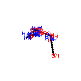 CCCC[C@H](NC(=O)[C@H](CN)NC(=O)[C@H](Cc1c[nH]cn1)NC(=O)[C@H](CCC(N)=O)NC(=O)[C@H](CO)NC(=O)CNC(=O)COCCOCCNC(=O)CC[C@H](NC(=O)CNC(=O)CCCCCCCCCCCCCCCCC(=O)O)C(=O)O)C(=O)NC